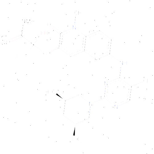 BC(B)(Oc1cc2cc(Nc3nc(N4C[C@H](C)C[C@H](C)C4)ncc3Cl)ccc2n(C)c1=O)C(=O)NC